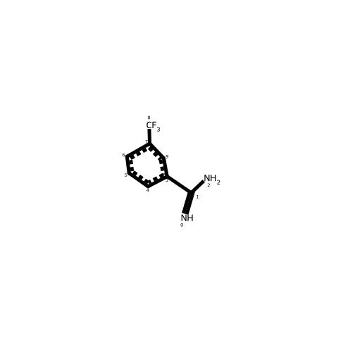 N=C(N)c1cccc(C(F)(F)F)c1